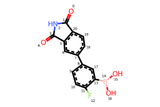 O=C1NC(=O)c2cc(-c3ccc(F)c(B(O)O)c3)ccc21